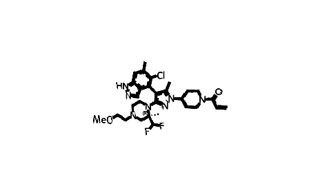 C=CC(=O)N1CCC(n2nc(N3CCN(CCOC)C[C@]3(C)C(F)F)c(-c3c(Cl)c(C)cc4[nH]ncc34)c2C)CC1